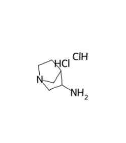 Cl.Cl.NC1CN2CCC1C2